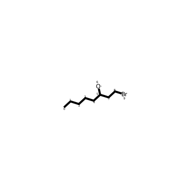 CCCCCC([O])CCBr